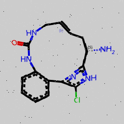 N[C@H]1C/C=C/CNC(=O)Nc2ccccc2-c2nc1[nH]c2Cl